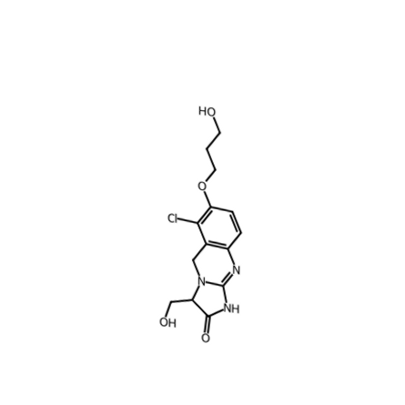 O=C1NC2=Nc3ccc(OCCCO)c(Cl)c3CN2C1CO